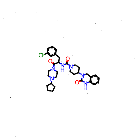 O=C(NC(Cc1cccc(Cl)c1)C(=O)N1CCN(C2CCCC2)CC1)N1CCC(N2Cc3ccccc3NC2=O)CC1